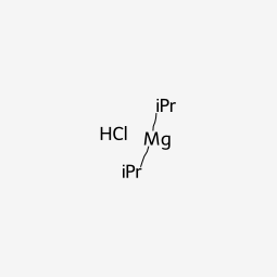 C[CH](C)[Mg][CH](C)C.Cl